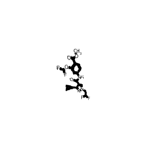 COC(=O)c1ccc(NC(=O)c2cn(CC(F)F)nc2C2CC2)cc1OC(F)F